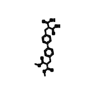 COC(=O)C(Cc1ccc(-c2ccc(CC(C(=O)O)C(=O)O)cc2)cc1)C(=O)OC